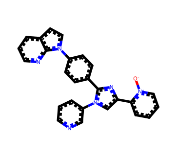 [O-][n+]1ccccc1-c1cn(-c2cccnc2)c(-c2ccc(-n3ccc4cccnc43)cc2)n1